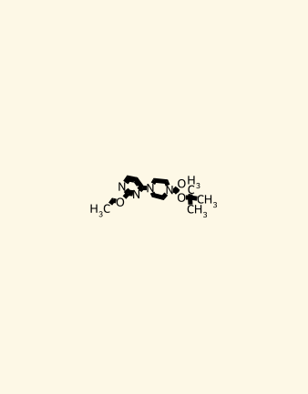 CCOc1nccc(N2CCN(C(=O)OC(C)(C)C)CC2)n1